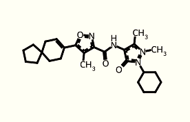 Cc1c(C(=O)Nc2c(C)n(C)n(C3CCCCC3)c2=O)noc1C1=CCC2(CCCC2)CC1